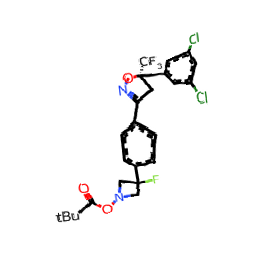 CC(C)(C)C(=O)ON1CC(F)(c2ccc(C3=NO[C@](c4cc(Cl)cc(Cl)c4)(C(F)(F)F)C3)cc2)C1